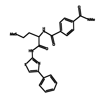 CNC(=O)c1ccc(C(=O)NC(CCSC)C(=O)Nc2nc(-c3ccccc3)cs2)cc1